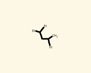 [CH2]C(CC)CC(CC)CC